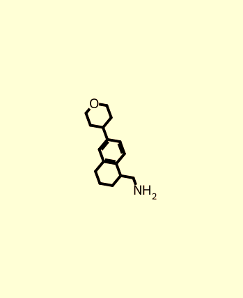 NCC1CCCc2cc(C3CCOCC3)ccc21